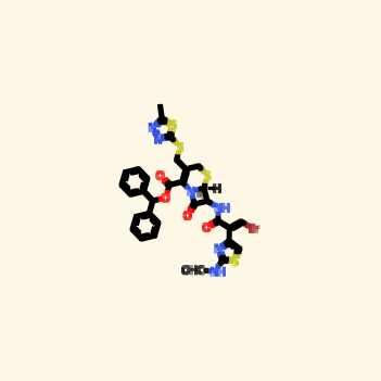 Cc1nnc(SCC2=C(C(=O)OC(c3ccccc3)c3ccccc3)N3C(=O)C(NC(=O)C(=CBr)c4csc(NC=O)n4)[C@@H]3SC2)s1